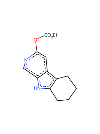 CCOC(=O)Oc1cc2c3c([nH]c2cn1)CCCC3